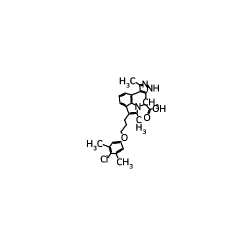 Cc1cc(OCCCc2c(C)n(CC(=O)O)c3c(-c4c(C)n[nH]c4C)cccc23)cc(C)c1Cl